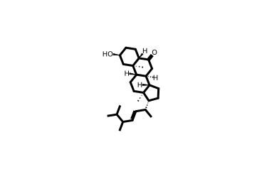 CC(C)C(C)/C=C/C(C)[C@H]1CC[C@H]2[C@@H]3CC(=O)[C@H]4CC[C@H](O)C[C@]4(C)[C@H]3CC[C@]12C